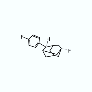 Fc1ccc([C@H]2C3CC4CC2C[C@](F)(C4)C3)cc1